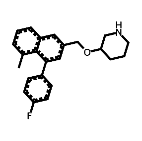 Cc1cccc2cc(COC3CCCNC3)cc(-c3ccc(F)cc3)c12